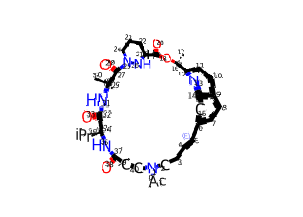 CC(=O)N1CC/C=C/c2ccc3ccc(nc3c2)[C@@H](C)OC(=O)[C@@H]2CCCN(N2)C(=O)[C@H](C)NC(=O)[C@H](C(C)C)NC(=O)CC1